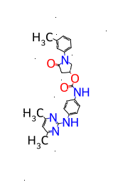 Cc1cccc(N2CC(OC(=O)Nc3ccc(Nc4nc(C)cc(C)n4)cc3)CC2=O)c1